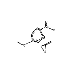 C=C1CO1.COc1ccc([N+](=O)[O-])cc1